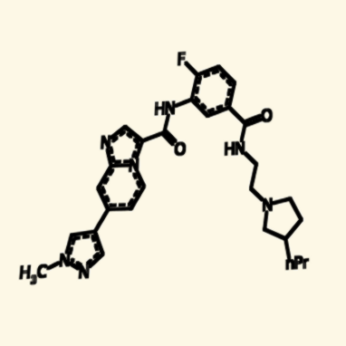 CCCC1CCN(CCNC(=O)c2ccc(F)c(NC(=O)c3cnc4cc(-c5cnn(C)c5)ccn34)c2)C1